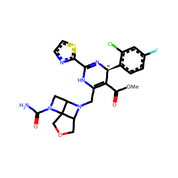 COC(=O)C1=C(CN2C3COCC34C2CN4C(N)=O)NC(c2nccs2)=N[C@H]1c1ccc(F)cc1Cl